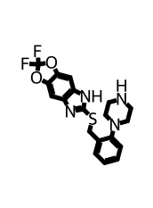 FC1(F)Oc2cc3nc(SCc4ccccc4N4CCNCC4)[nH]c3cc2O1